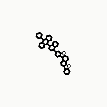 c1ccc(-c2c3ccccc3c(-c3ccc(-c4ccc5c(c4)oc4ccc6c(ccc7c8ccccc8oc76)c45)c4ccccc34)c3ccccc23)cc1